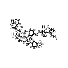 Cc1noc(C)c1-c1nc(COc2ccc(C[C@H]3[C@@H](CN(CC(C)C)S(=O)(=O)c4ccc5c(c4)OCO5)OC(C)(C)N3C(=O)O[C@H]3CO[C@H]4OCC[C@H]43)cc2)no1